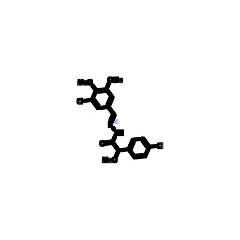 COc1cc(/C=N/NC(=O)C(OC)c2ccc(Cl)cc2)cc(Cl)c1OC